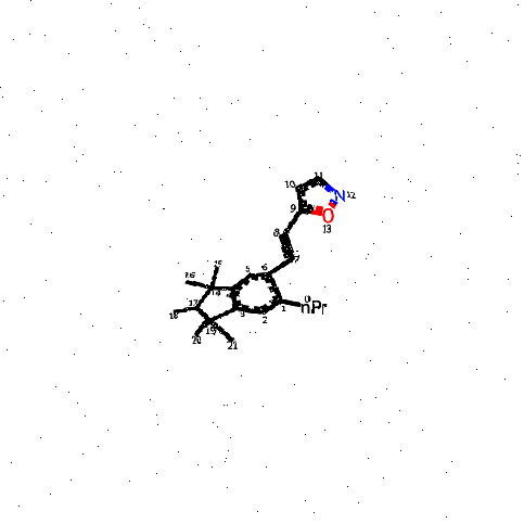 CCCc1cc2c(cc1C=Cc1ccno1)C(C)(C)C(C)C2(C)C